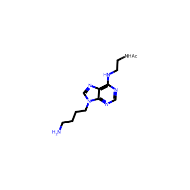 CC(=O)NCCNc1ncnc2c1ncn2CCCCN